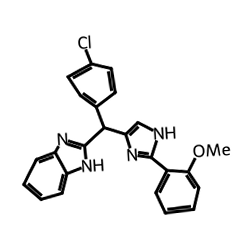 COc1ccccc1-c1nc(C(c2ccc(Cl)cc2)c2nc3ccccc3[nH]2)c[nH]1